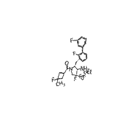 CC[S+]([O-])NC1[C@H](Cc2cccc(-c3cccc(F)c3)c2F)N(C(=O)C2CC(C)(F)C2)CC1(F)F